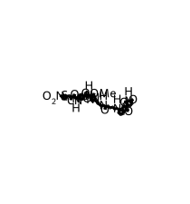 COc1nc(C#CCNC(=O)CCCCNc2cccc3c2CN(C2CCC(=O)NC2=O)C3=O)cnc1NS(=O)(=O)c1ccc(NC(=O)/C(C#N)=C/c2ccc([N+](=O)[O-])s2)cc1